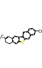 CC1=Cc2cc3c(cc2CC1)sc1cc2cc(C)ccc2cc13